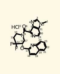 Cl.Cn1cnc2c(C(=O)N3CCC(F)(F)[C@@H](Oc4ccc5ccccc5n4)C3)nccc21